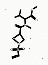 C=CS(=O)(=O)N1CC(C(=O)N(C)C(C(=O)OC)C(C)C)C1